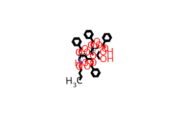 CCCCO/C=C/[C@@H](OC(=O)c1ccccc1)[C@H](O[C@H](OC(CO)CO)[C@H](COC(=O)c1ccccc1)OC(=O)c1ccccc1)C(O)COC(=O)c1ccccc1